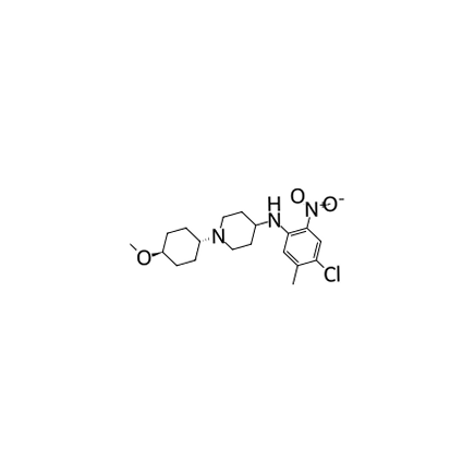 CO[C@H]1CC[C@H](N2CCC(Nc3cc(C)c(Cl)cc3[N+](=O)[O-])CC2)CC1